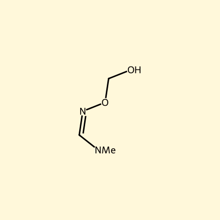 CN/C=N\OCO